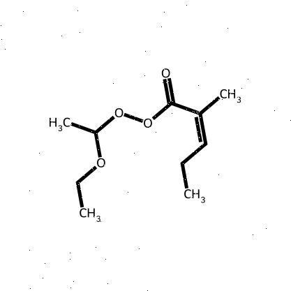 CCC=C(C)C(=O)OOC(C)OCC